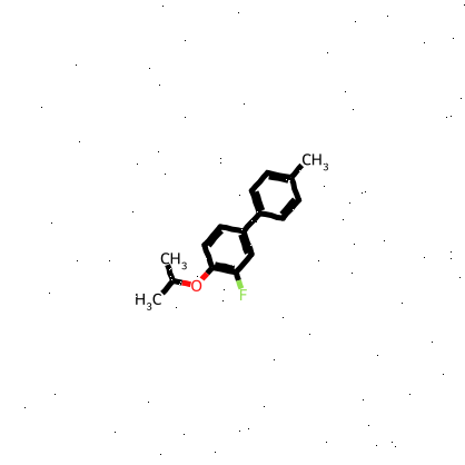 Cc1ccc(-c2ccc(OC(C)C)c(F)c2)cc1